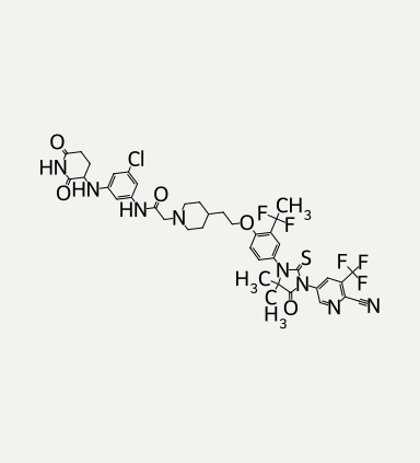 CC(F)(F)c1cc(N2C(=S)N(c3cnc(C#N)c(C(F)(F)F)c3)C(=O)C2(C)C)ccc1OCCC1CCN(CC(=O)Nc2cc(Cl)cc(NC3CCC(=O)NC3=O)c2)CC1